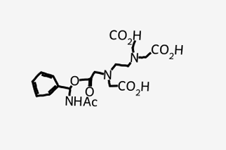 CC(=O)NC(OC(=O)CN(CCN(CC(=O)O)CC(=O)O)CC(=O)O)c1ccccc1